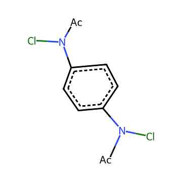 CC(=O)N(Cl)c1ccc(N(Cl)C(C)=O)cc1